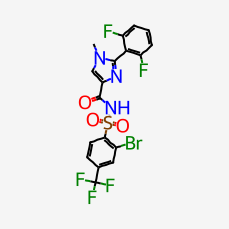 Cn1cc(C(=O)NS(=O)(=O)c2ccc(C(F)(F)F)cc2Br)nc1-c1c(F)cccc1F